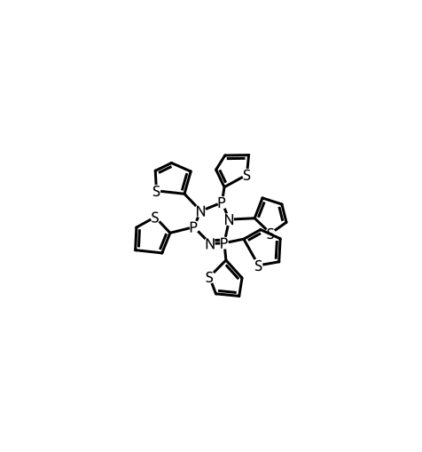 c1csc(N2P(c3cccs3)N=P(c3cccs3)(c3cccs3)N(c3cccs3)P2c2cccs2)c1